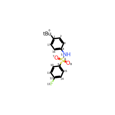 CC(C)(C)c1ccc(NS(=O)(=O)c2ccc(F)cc2)cc1